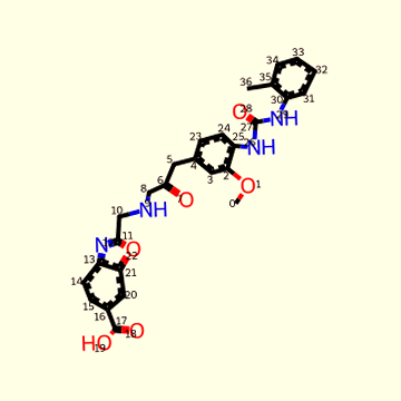 COc1cc(CC(=O)CNCc2nc3ccc(C(=O)O)cc3o2)ccc1NC(=O)Nc1ccccc1C